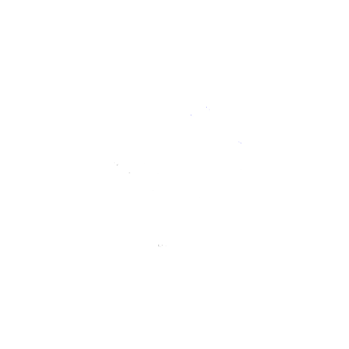 COc1ccc(-c2ccc3ncc4[nH]nc(-c5ccc(C(C)(C)C#N)cc5)c4c3c2)cc1